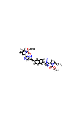 C[C@H]1CC[C@@H](c2ncc(-c3ccc4cc(C#Cc5cnc([C@@H]6C[C@H]7C[C@H]7N6C(=O)OC(C)(C)C)[nH]5)ccc4c3)[nH]2)N1C(=O)OC(C)(C)C